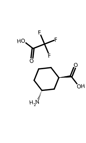 N[C@@H]1CCC[C@@H](C(=O)O)C1.O=C(O)C(F)(F)F